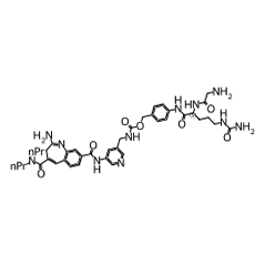 CCCN(CCC)C(=O)C1=Cc2ccc(C(=O)Nc3cncc(CNC(=O)OCc4ccc(NC(=O)[C@H](CCCNC(N)=O)NC(=O)CN)cc4)c3)cc2N=C(N)C1